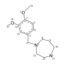 COc1ccc(CN2CCC[N]CC2)cc1OC